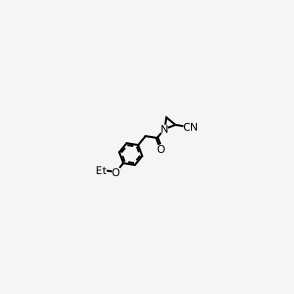 CCOc1ccc(CC(=O)N2CC2C#N)cc1